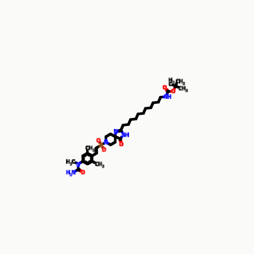 Cc1cc(N(C)C(N)=O)cc(C)c1C=CS(=O)(=O)N1CCC2(CC1)N=C(CCCCCCCCCCCNC(=O)OC(C)(C)C)NC2=O